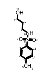 Cc1ccc(S(=O)(=O)NCCCO)cc1